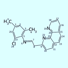 Cc1cc(C)c(N=CCc2ccc3ccc4cccnc4c3n2)c(Cl)c1